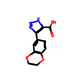 O=C(O)c1[nH]nnc1-c1ccc2c(c1)OCCO2